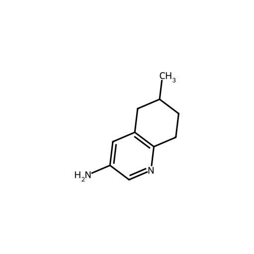 CC1CCc2ncc(N)cc2C1